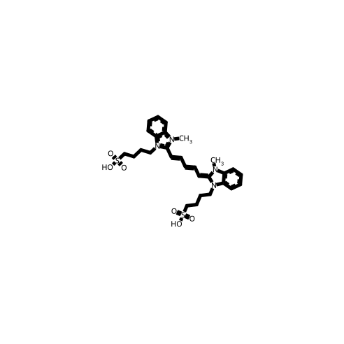 CN1\C(=C/C=C/C=C/c2n(C)c3ccccc3[n+]2CCCCS(=O)(=O)O)N(CCCCS(=O)(=O)O)c2ccccc21